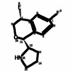 Fc1ccc2c(c1)[C@@H](F)CO[C@H]2C1CCCN1